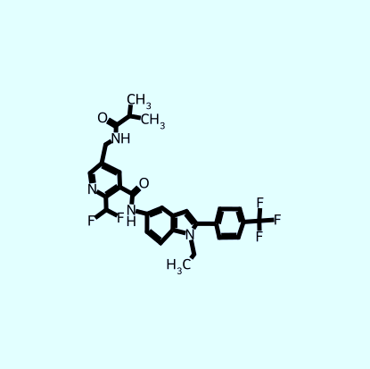 CCn1c(-c2ccc(C(F)(F)F)cc2)cc2cc(NC(=O)c3cc(CNC(=O)C(C)C)cnc3C(F)F)ccc21